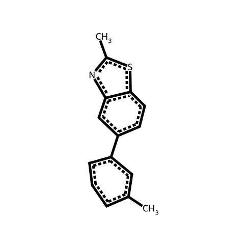 Cc1cccc(-c2ccc3sc(C)nc3c2)c1